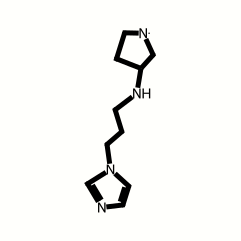 c1cn(CCCNC2CC[N]C2)cn1